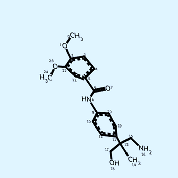 COc1ccc(C(=O)Nc2ccc(C(C)(CN)CO)cc2)cc1OC